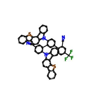 N#Cc1ccc(-n2c3ccccc3c3c4sc5ccccc5c4ccc32)c(-c2cc(-c3ccc(C(F)(F)F)cc3C#N)ccc2-n2c3ccccc3c3c4sc5ccccc5c4ccc32)c1